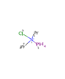 CC(C)[N+]([PH4])(Cl)C(C)C